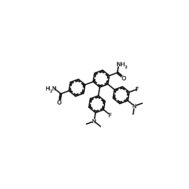 CN(C)c1ccc(-c2c(C(N)=O)ccc(-c3ccc(C(N)=O)cc3)c2-c2ccc(N(C)C)c(F)c2)cc1F